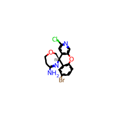 NC1=N[C@@]2(COCC1)c1cc(Br)ccc1Oc1cnc(Cl)cc12